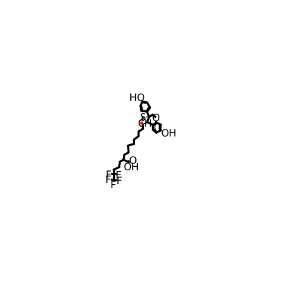 CS[C@]1(c2ccc(O)cc2)COc2cc(O)ccc2[C@H]1CCCCCCCCCC(CCCC(F)(F)C(F)(F)F)C(=O)O